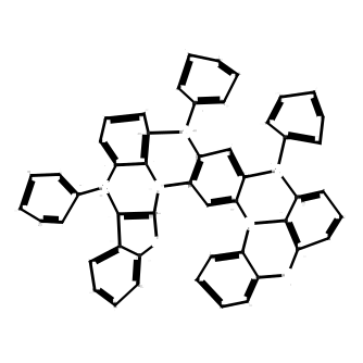 c1ccc(N2c3cc4c(cc3B3c5ccccc5Oc5cccc2c53)B2c3sc5ccccc5c3N(c3ccccc3)c3cccc(c32)N4c2ccccc2)cc1